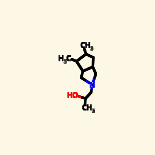 CC(O)CN1CC2CC(C)C(C)C2C1